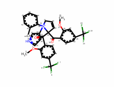 COc1cc(C(F)(F)F)ccc1C(=O)C1(C(=O)c2ccc(C(F)(F)F)cc2OC)C=CC[N+]1(c1cc[nH]c1)c1ccccc1C